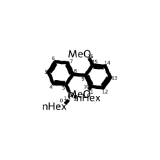 CCCCCCP(CCCCCC)c1ccccc1-c1c(OC)cccc1OC